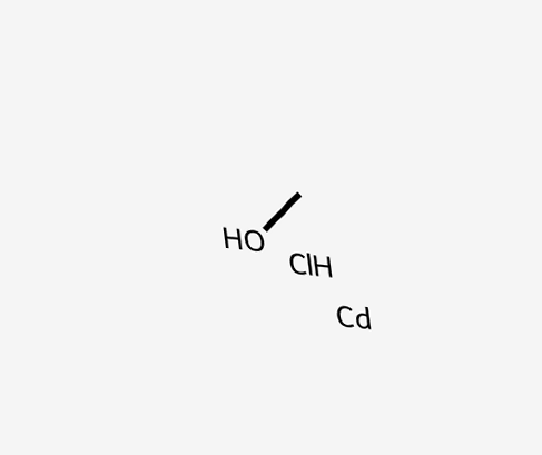 CO.Cl.[Cd]